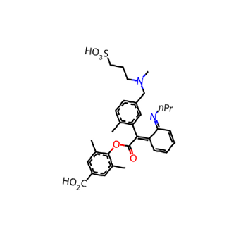 CCC/N=C1\C=CC=C\C1=C(/C(=O)Oc1c(C)cc(C(=O)O)cc1C)c1cc(CN(C)CCCS(=O)(=O)O)ccc1C